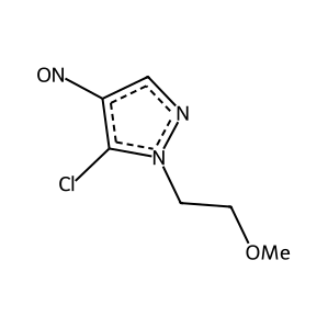 COCCn1ncc(N=O)c1Cl